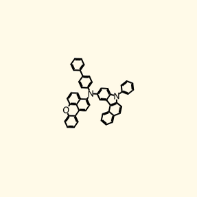 c1ccc(-c2ccc(N(c3ccc4c(c3)c3c5ccccc5ccc3n4-c3ccccc3)c3ccc4c5c(cccc35)Oc3ccccc3-4)cc2)cc1